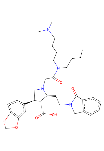 CCCCN(CCCCN(C)C)C(=O)CN1C[C@H](c2ccc3c(c2)OCO3)[C@@H](C(=O)O)[C@@H]1CCN1Cc2ccccc2C1=O